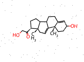 C[C@]12CCC(O)C=C1CCC1C2=CC[C@@]2(C)C1CC[C@@H]2C(=O)CO